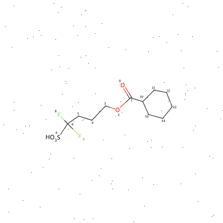 O=C(OCCCC(F)(F)S(=O)(=O)O)C1CCCCC1